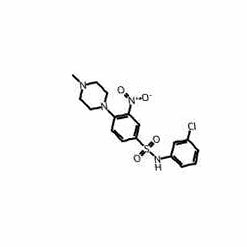 CN1CCN(c2ccc(S(=O)(=O)Nc3cccc(Cl)c3)cc2[N+](=O)[O-])CC1